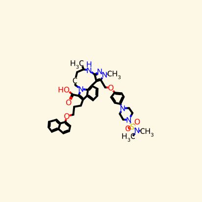 CC1CCCn2c(C(=O)O)c(CCCOc3cccc4ccccc34)c3cccc(c32)-c2c(nn(C)c2COc2ccc(N3CCN(S(=O)(=O)N(C)C)CC3)cc2)N1